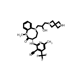 Cc1cc(C(F)(F)F)c(C#N)c(N[C@H]2CCN(CC(O)CN3CC4(CNC4)C3)c3ccccc3N(C)C2=O)n1